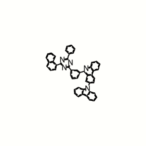 c1ccc(-c2nc(-c3cccc(-c4nc5ccccc5c5ccc(-n6c7ccccc7c7ccccc76)cc45)c3)nc(-c3cccc4ccccc34)n2)cc1